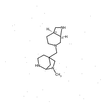 CN1CC2(CN3CC[C@H]4CN[C@H]4C3)CCNC1C2